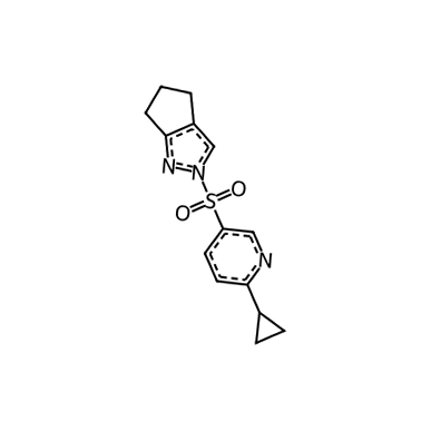 O=S(=O)(c1ccc(C2CC2)nc1)n1cc2c(n1)CCC2